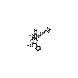 C[Si](C)(C)CCOCN1NNN=C1C[C@@H](C(=O)O)C1CCCC1